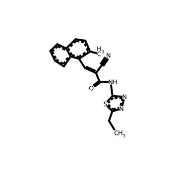 CCc1nnc(NC(=O)C(C#N)=Cc2c(C)ccc3ccccc23)s1